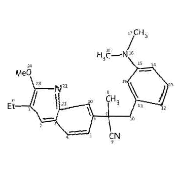 CCc1cc2ccc(C(C)(C#N)Cc3cccc(N(C)C)c3)cc2nc1OC